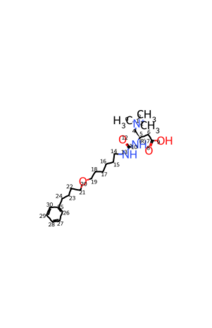 C[N+](C)(C)C[C@@H](CC(=O)O)NC(=O)NCCCCCCOCCCCc1ccccc1